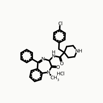 CN1C(=O)C(NC(=O)C2(Cc3ccc(Cl)cc3)CCNCC2)N=C(c2ccccc2)c2ccccc21.Cl